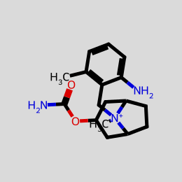 Cc1cccc(N)c1C[N+]1(C)C2CCC1CC(OC(N)=O)C2